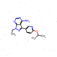 [CH2]Cn1nc(-c2ccc(OC(C)C)nc2)c2c(N)ncnc21